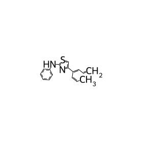 C=C/C=C(\C=C/C)c1csc(Nc2ccccc2)n1